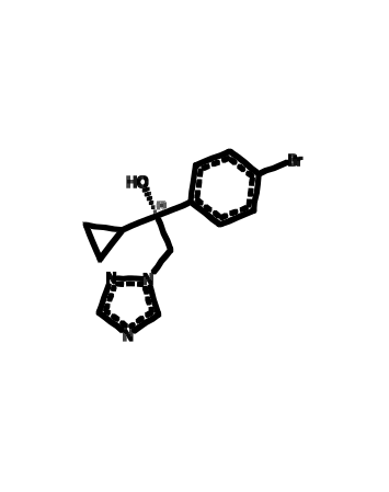 O[C@@](Cn1cncn1)(c1ccc(Br)cc1)C1CC1